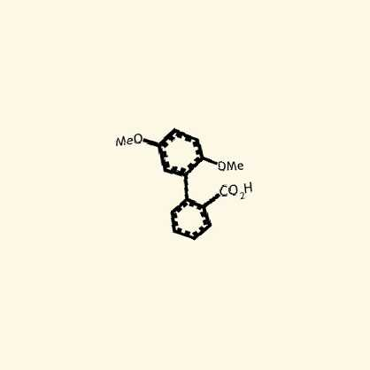 COc1ccc(OC)c(-c2ccccc2C(=O)O)c1